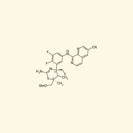 COC[C@@]1(C)SC(N)=N[C@](CF)(c2cc(Nc3nccc4cc(C#N)cnc34)cc(F)c2F)C1C